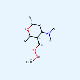 CC1O[C@H](C)CC(N(C)C)[C@H]1COOC=O